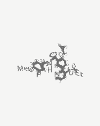 CCC(=O)OCc1cccnc1-c1ccc(OCC2CC2)c(C(=O)NCc2ccc(OC)c(F)c2)c1